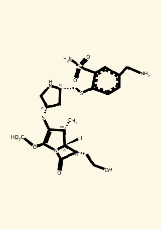 C[C@H]1C(S[C@@H]2CN[C@H](CSc3ccc(CN)cc3S(N)(=O)=O)C2)=C(OC(=O)O)N2C(=O)[C@@H](CCO)[C@@H]12